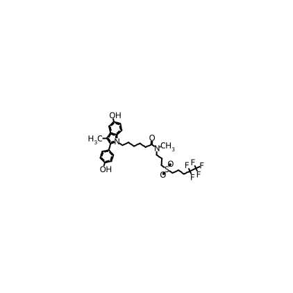 Cc1c(-c2ccc(O)cc2)n(CCCCCC(=O)N(C)CCCS(=O)(=O)CCCC(F)(F)C(F)(F)F)c2ccc(O)cc12